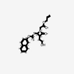 C=CCOC(=O)CN1C(=O)C(CCO)C1SC(=S)Oc1ccc2ccccc2c1